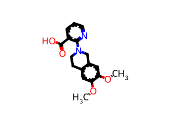 COc1cc2c(cc1OC)CN(c1ncccc1C(=O)O)CC2